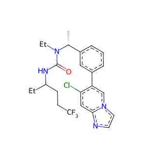 CCC(CCC(F)(F)F)NC(=O)N(CC)[C@H](C)c1cccc(-c2cn3ccnc3cc2Cl)c1